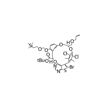 C=CCOC[C@@H]1COc2ccc(OCOCC[Si](C)(C)C)c(c2)C[C@H](C(=O)OC(C)(C)C)Oc2ncnc3sc(Br)c(c23)-c2c(C)c(Cl)c(c(Cl)c2C)O1